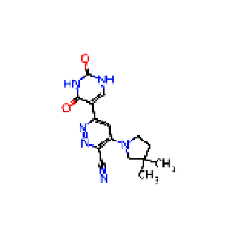 CC1(C)CCN(c2cc(-c3c[nH]c(=O)[nH]c3=O)nnc2C#N)C1